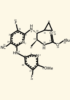 COc1ncc(Nc2nc(N[C@H](C3CC3)[C@H](C)NC(=O)OC(C)(C)C)c(F)cc2C#N)cc1F